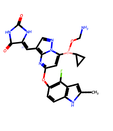 Cc1cc2c(F)c(Oc3cc(B(OCN)C4CC4)n4ncc(/C=C5\NC(=O)NC5=O)c4n3)ccc2[nH]1